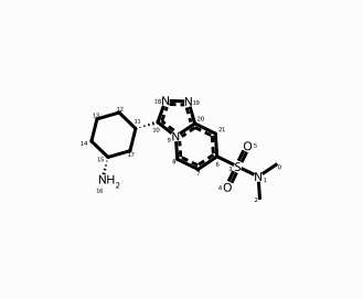 CN(C)S(=O)(=O)c1ccn2c([C@H]3CCC[C@@H](N)C3)nnc2c1